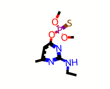 CCNc1nc(C)cc(OP(=S)(OC)OC)n1